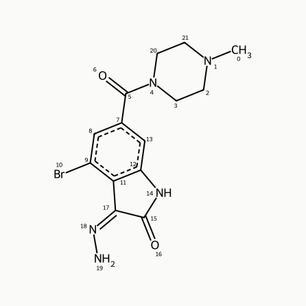 CN1CCN(C(=O)c2cc(Br)c3c(c2)NC(=O)C3=NN)CC1